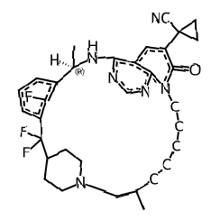 CC1CCCCCn2c(=O)c(C3(C#N)CC3)cc3c(ncnc32)N[C@H](C)c2cccc(c2F)C(F)(F)C2CCN(CC2)C1